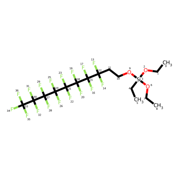 CCO[Si](CC)(OCC)OCCC(F)(F)C(F)(F)C(F)(F)C(F)(F)C(F)(F)C(F)(F)C(F)(F)C(F)(F)F